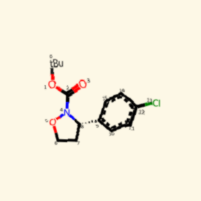 CC(C)(C)OC(=O)N1OCC[C@H]1c1ccc(Cl)cc1